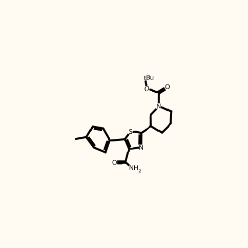 Cc1ccc(-c2sc(C3CCCN(C(=O)OC(C)(C)C)C3)nc2C(N)=O)cc1